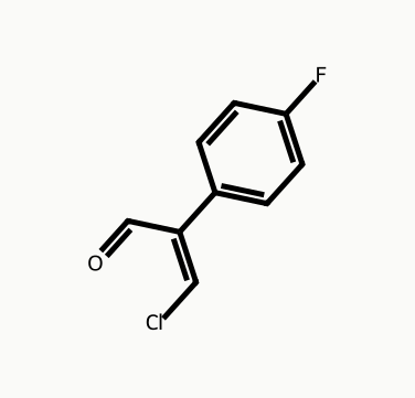 O=CC(=CCl)c1ccc(F)cc1